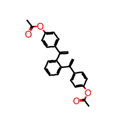 C=C(c1ccc(OC(C)=O)cc1)c1ccccc1C(=C)c1ccc(OC(C)=O)cc1